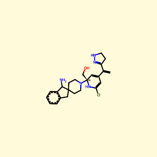 C=C(C1=C[C@@](CO)(N2CCC3(CC2)Cc2ccccc2C3N)NC(Cl)=C1)C1=NNCC1